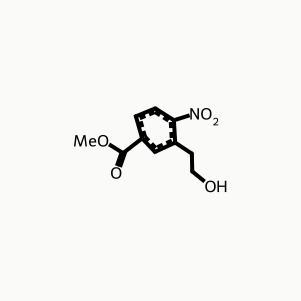 COC(=O)c1ccc([N+](=O)[O-])c(CCO)c1